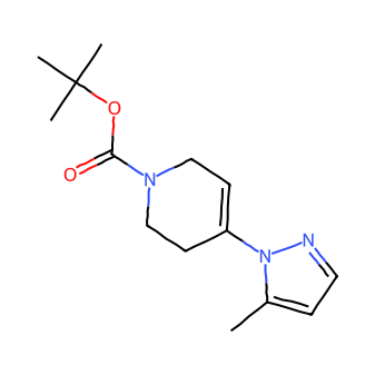 Cc1ccnn1C1=CCN(C(=O)OC(C)(C)C)CC1